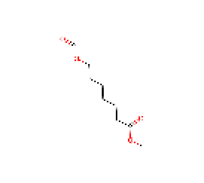 COC(=O)CCCCCCOC=O